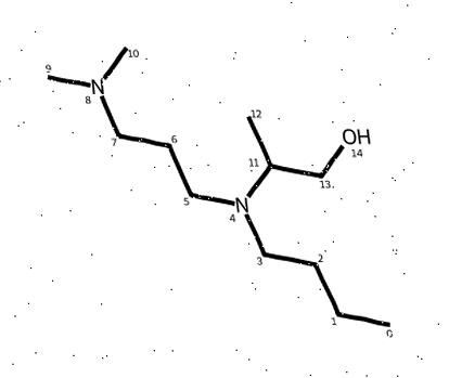 CCCCN(CCCN(C)C)C(C)CO